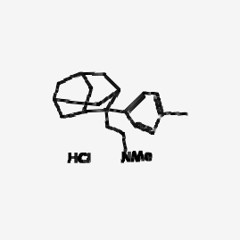 CNCCC1(c2ccc(C)cc2)C2CC3CC(C2)CC1C3.Cl